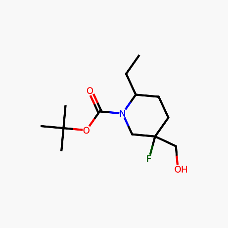 CCC1CCC(F)(CO)CN1C(=O)OC(C)(C)C